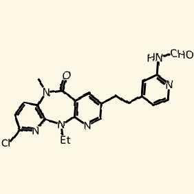 CCN1c2ncc(CCc3ccnc(NC=O)c3)cc2C(=O)N(C)c2ccc(Cl)nc21